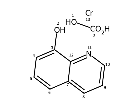 O=C(O)O.Oc1cccc2cccnc12.[Cr]